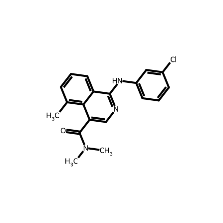 Cc1cccc2c(Nc3cccc(Cl)c3)ncc(C(=O)N(C)C)c12